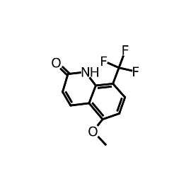 COc1ccc(C(F)(F)F)c2[nH]c(=O)ccc12